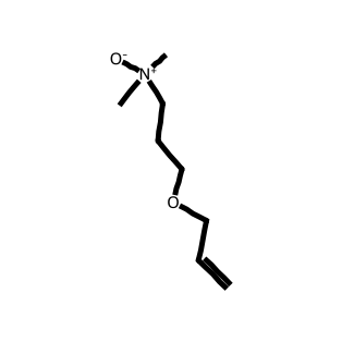 C=CCOCCC[N+](C)(C)[O-]